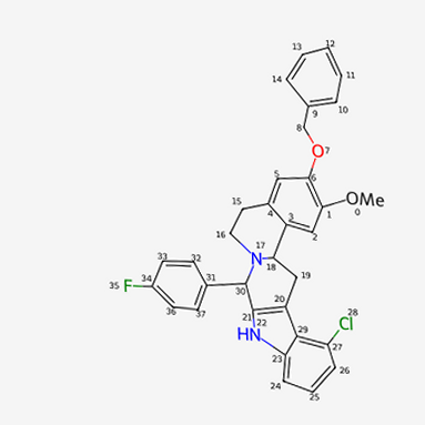 COc1cc2c(cc1OCc1ccccc1)CCN1C2Cc2c([nH]c3cccc(Cl)c23)C1c1ccc(F)cc1